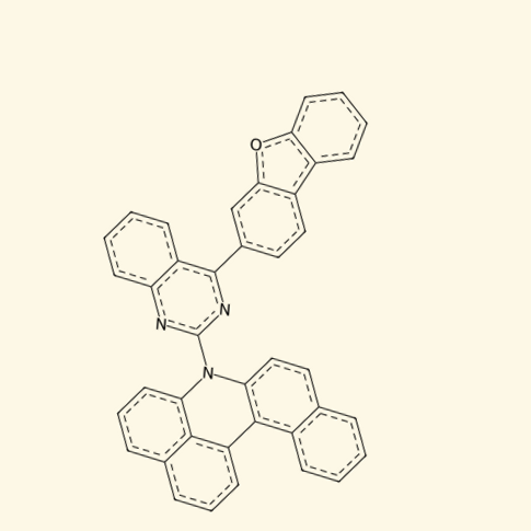 c1ccc2c3c(ccc2c1)N(c1nc(-c2ccc4c(c2)oc2ccccc24)c2ccccc2n1)c1cccc2cccc-3c12